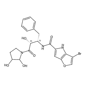 O=C(N[C@@H](Cc1ccccc1)[C@@H](O)C(=O)N1CCC(O)C1O)c1cc2occ(Br)c2[nH]1